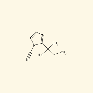 CCC(C)(C)c1nccn1C#N